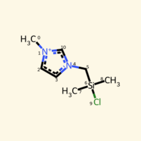 C[n+]1ccn(C[Si](C)(C)Cl)c1